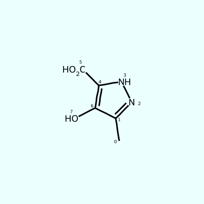 Cc1n[nH]c(C(=O)O)c1O